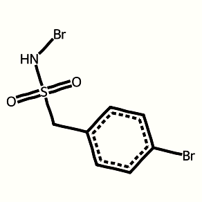 O=S(=O)(Cc1ccc(Br)cc1)NBr